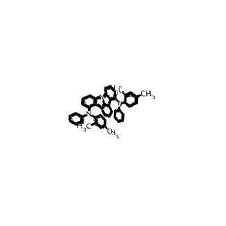 Cc1ccc(N(c2ccccc2)c2cccc3c2c2cccc4c5c(N(c6ccccc6)c6ccc(C)cc6C)cccc5n3c24)c(C)c1